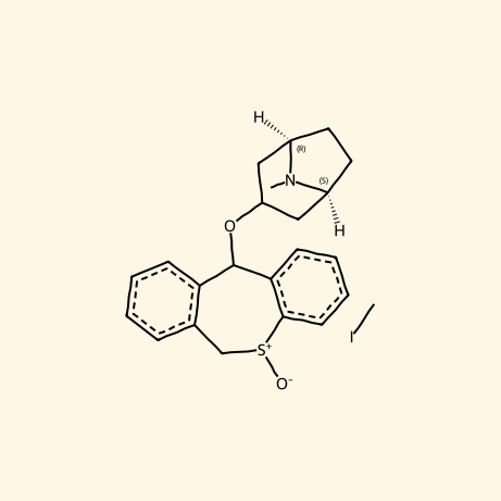 CI.CN1[C@@H]2CC[C@H]1CC(OC1c3ccccc3C[S+]([O-])c3ccccc31)C2